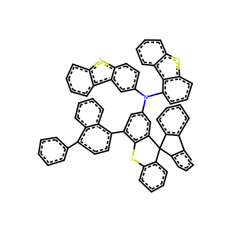 c1ccc(-c2ccc(-c3cc(N(c4ccc5sc6ccccc6c5c4)c4cccc5sc6ccccc6c45)cc4c3Sc3ccccc3C43c4ccccc4-c4ccccc43)c3ccccc23)cc1